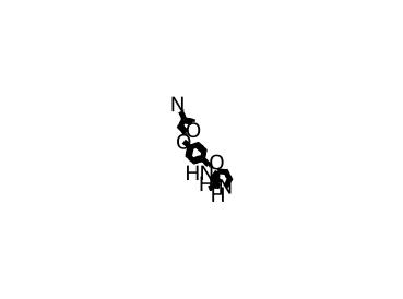 C[C@H]1[C@H](NC(=O)c2ccc(Oc3cc(C#N)co3)cc2)C2CCN1CC2